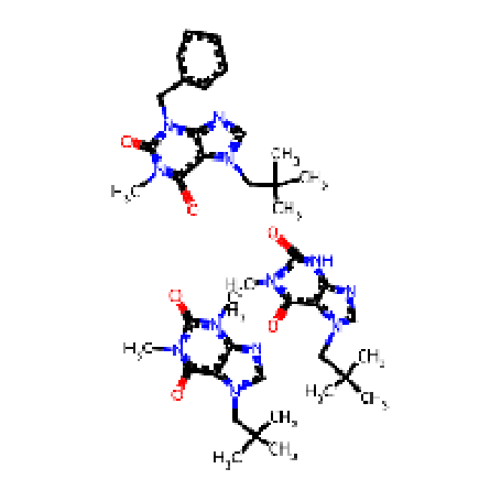 Cn1c(=O)[nH]c2ncn(CC(C)(C)C)c2c1=O.Cn1c(=O)c2c(ncn2CC(C)(C)C)n(C)c1=O.Cn1c(=O)c2c(ncn2CC(C)(C)C)n(Cc2ccccc2)c1=O